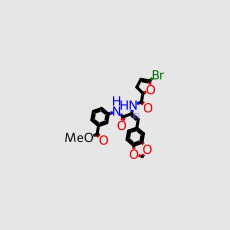 COC(=O)c1cccc(NC(=O)/C(=C\c2ccc3c(c2)OCO3)NC(=O)C2CC=C(Br)O2)c1